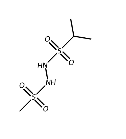 CC(C)S(=O)(=O)NNS(C)(=O)=O